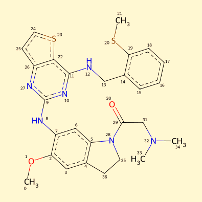 COc1cc2c(cc1Nc1nc(NCc3ccccc3SC)c3sccc3n1)N(C(=O)CN(C)C)CC2